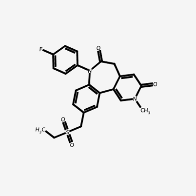 CCS(=O)(=O)Cc1ccc2c(c1)-c1cn(C)c(=O)cc1CC(=O)N2c1ccc(F)cc1